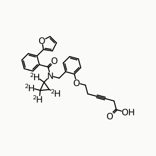 [2H]C1C([2H])([2H])C1([2H])N(Cc1ccccc1OCCC#CCC(=O)O)C(=O)c1ccccc1-c1ccco1